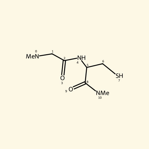 CNCC(=O)NC(CS)C(=O)NC